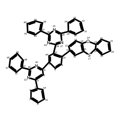 c1ccc(-c2cc(-c3ccc(-c4ccc5c(c4)Sc4ccccc4O5)c(-c4nc(-c5ccccc5)nc(-c5ccccc5)n4)c3)nc(-c3ccccc3)n2)cc1